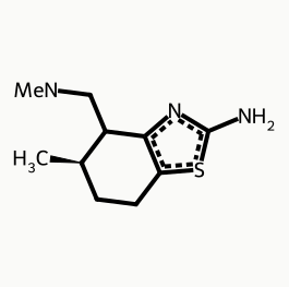 CNCC1c2nc(N)sc2CC[C@H]1C